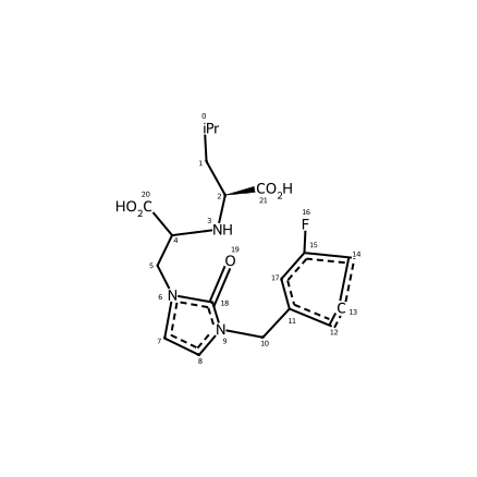 CC(C)C[C@H](NC(Cn1ccn(Cc2cccc(F)c2)c1=O)C(=O)O)C(=O)O